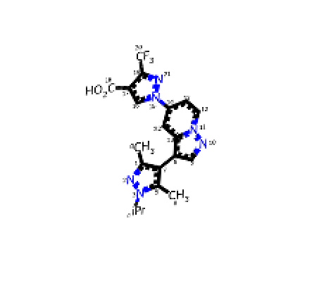 Cc1nn(C(C)C)c(C)c1-c1cnn2ccc(-n3cc(C(=O)O)c(C(F)(F)F)n3)cc12